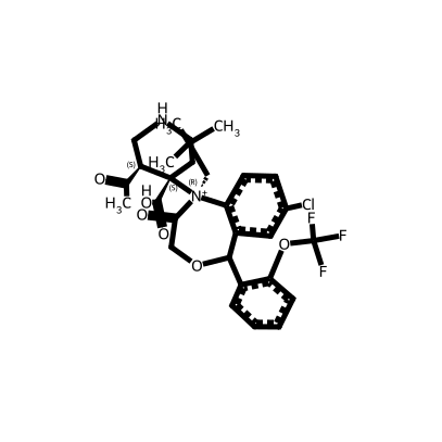 CC(=O)[C@H]1CNCC[C@]1(C(=O)O)[N@+]1(CC(C)(C)C)C(=O)COC(c2ccccc2OC(F)(F)F)c2cc(Cl)ccc21